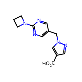 O=C(O)c1cnn(Cc2cnc(N3CCC3)nc2)c1